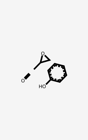 C=O.CC1CO1.Oc1ccccc1